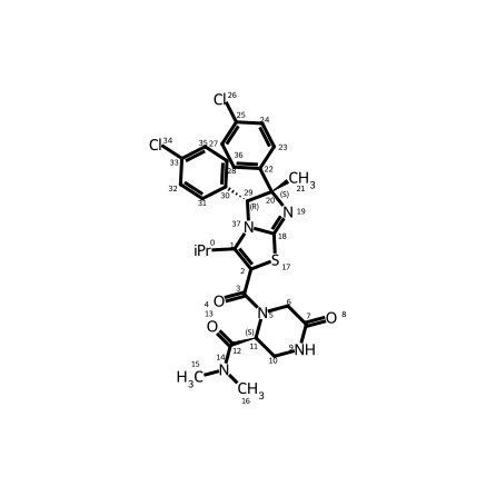 CC(C)C1=C(C(=O)N2CC(=O)NC[C@H]2C(=O)N(C)C)SC2=N[C@@](C)(c3ccc(Cl)cc3)[C@@H](c3ccc(Cl)cc3)N21